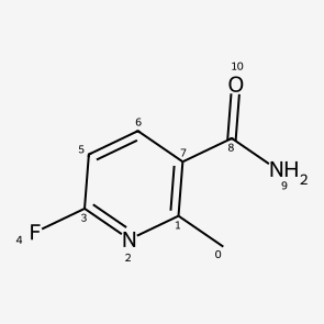 Cc1nc(F)ccc1C(N)=O